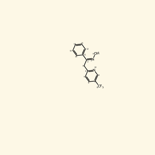 ON=C(Cc1ccc(C(F)(F)F)cn1)c1ccccc1